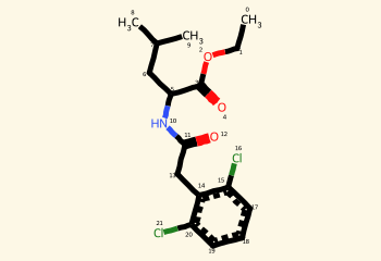 CCOC(=O)C(CC(C)C)NC(=O)Cc1c(Cl)cccc1Cl